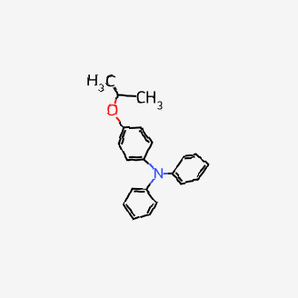 CC(C)Oc1ccc(N(c2ccccc2)c2ccccc2)cc1